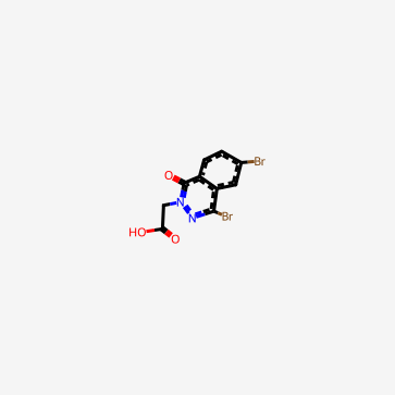 O=C(O)Cn1nc(Br)c2cc(Br)ccc2c1=O